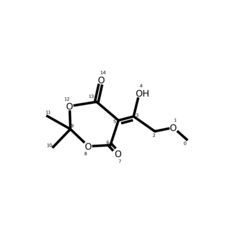 COCC(O)=C1C(=O)OC(C)(C)OC1=O